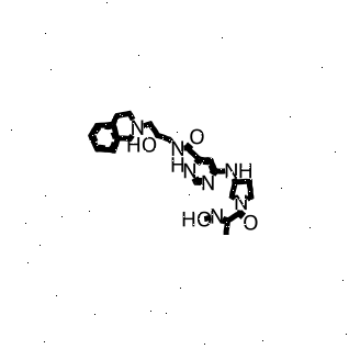 CC(=NO)C(=O)N1CCC(Nc2cc(C(=O)NC[C@H](O)CN3CCc4ccccc4C3)ncn2)C1